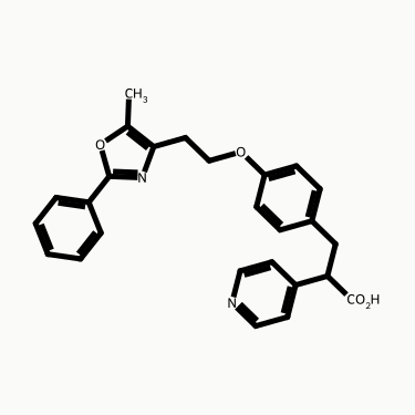 Cc1oc(-c2ccccc2)nc1CCOc1ccc(CC(C(=O)O)c2ccncc2)cc1